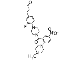 CN1CCN(c2ccc([N+](=O)[O-])cc2C(=O)N2CCN(c3ccc(CCC=O)cc3F)CC2)CC1